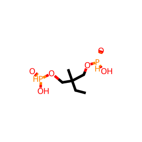 CCC(C)(CO[PH](=O)O)CO[PH](=O)O